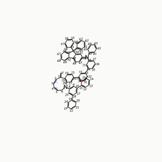 C=C1/C=C\C=C/CN(c2cc(-c3ccccc3)cc(-c3ccccc3)c2)c2cc(-c3cccc(-c4cccc(N(c5ccccc5)c5ccc6c(c5)C(c5ccccc5)(c5ccccc5)c5ccccc5-6)c4)c3)ccc21